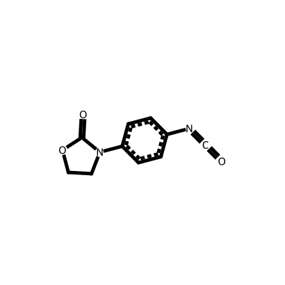 O=C=Nc1ccc(N2CCOC2=O)cc1